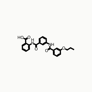 CCCOc1cccc(C(=O)Nc2cccc(C(=O)Nc3ccccc3C(=O)O)c2)c1